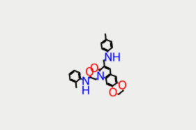 Cc1ccc(NCc2cc3cc4c(cc3n(CC(=O)Nc3ccccc3C)c2=O)OCCO4)cc1